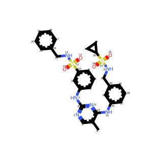 Cc1cnc(Nc2cccc(S(=O)(=O)NCc3ccccc3)c2)nc1Nc1cccc(CNS(=O)(=O)C2CC2)c1